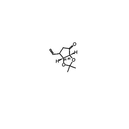 C=CC1CC(=O)[C@@H]2OC(C)(C)O[C@H]12